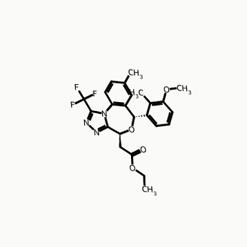 CCOC(=O)C[C@@H]1O[C@@H](c2cccc(OC)c2C)c2cc(C)ccc2-n2c1nnc2C(F)(F)F